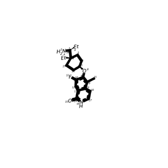 CC[C@@H](N)[C@]1(CC)CC[C@@H](Oc2c(F)cc3c(=O)[nH]ccc3c2C)CC1